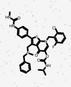 CNC(=O)Nc1ccc(-c2sc3c(c2CN(C)Cc2ccccc2)c(=O)c(OC(=O)NC(C)C)cn3Cc2c(F)cccc2Cl)cc1